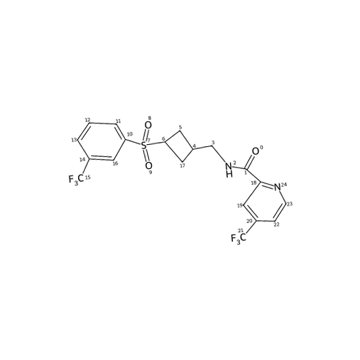 O=C(NCC1CC(S(=O)(=O)c2cccc(C(F)(F)F)c2)C1)c1cc(C(F)(F)F)ccn1